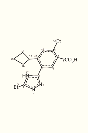 CCc1nnc(-c2cc(C(=O)O)c(CC)cc2C2CCC2)[nH]1